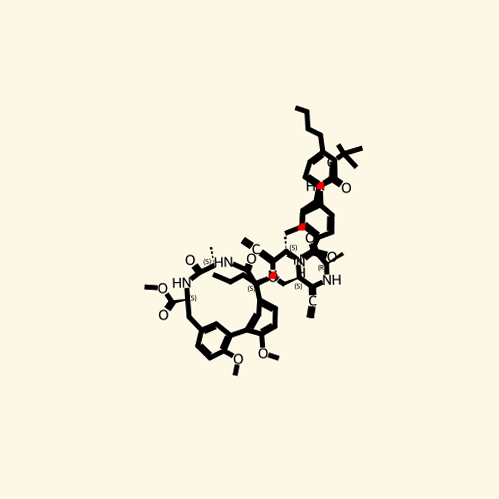 C=C=C(N[C@H](C)C(=O)N[C@@H](CCCCNC(=O)OC(C)(C)C)C(=C=C)N(C)[C@@H]1C(=O)N[C@@H](C)C(=O)N[C@H](C(=O)OC)Cc2ccc(OC)c(c2)-c2cc1ccc2OC)[C@@H](COCCCC)N(C)C(=O)c1ccc(-c2ccc(CCCC)cc2)cc1